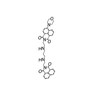 O=C1c2cccc3cccc(c23)C(=O)N1CCNCCCNCCN1C(=O)c2cccc3c(N4CCOCC4)ccc(c23)C1=O